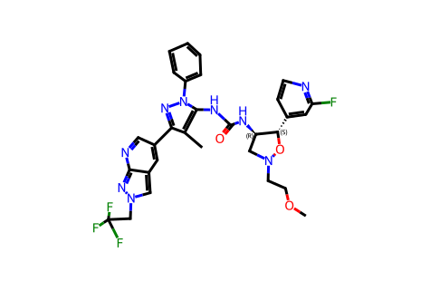 COCCN1C[C@@H](NC(=O)Nc2c(C)c(-c3cnc4nn(CC(F)(F)F)cc4c3)nn2-c2ccccc2)[C@H](c2ccnc(F)c2)O1